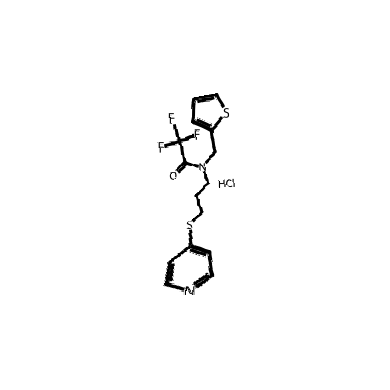 Cl.O=C(N(CCCSc1ccncc1)Cc1cccs1)C(F)(F)F